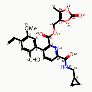 C=Cc1cc(C=O)c(-c2ccc(C(=O)NCC3CC3)nc2C(=O)OCc2oc(=O)oc2C)cc1OC